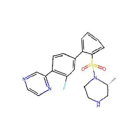 C[C@@H]1CNCCN1S(=O)(=O)c1ccccc1-c1ccc(-c2cnccn2)c(F)c1